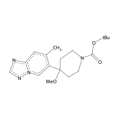 COC1(c2cn3ncnc3cc2C)CCN(C(=O)OC(C)(C)C)CC1